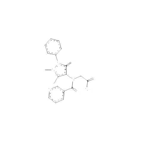 Cc1c(N(CC(N)=O)C(=O)c2cccnc2)c(=O)n(-c2ccccc2)n1C